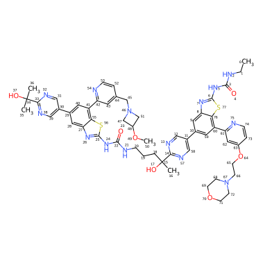 CCNC(=O)Nc1nc2cc(-c3cnc(C(C)(O)CCCNC(=O)Nc4nc5cc(-c6cnc(C(C)(C)O)nc6)cc(-c6cc(CN7CC(OC)C7)ccn6)c5s4)nc3)cc(-c3cc(OCCN4CCOCC4)ccn3)c2s1